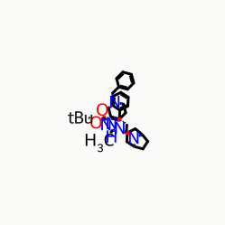 Cc1nc2c(n1C1CC3CCC(C1)N3CC[C@H](NC(=O)OC(C)(C)C)c1ccccc1)CCN(Cc1ccccc1)C2